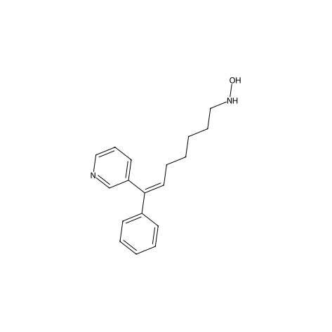 ONCCCCCC=C(c1ccccc1)c1cccnc1